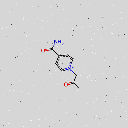 CC(=O)C[n+]1ccc(C(N)=O)cc1